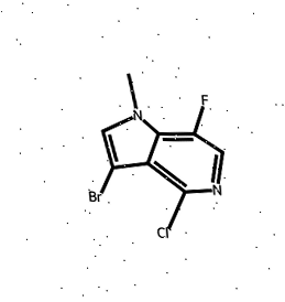 Cn1cc(Br)c2c(Cl)ncc(F)c21